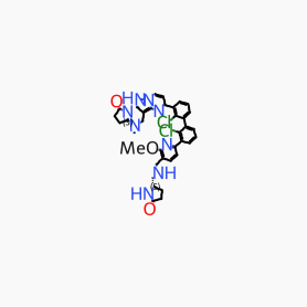 COc1nc(-c2cccc(-c3cccc(-c4ccn5ncc(CN(C)[C@H]6CCC(=O)N6)c5n4)c3Cl)c2Cl)ccc1CNC[C@@H]1CCC(=O)N1